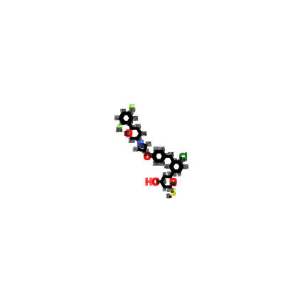 CSC1CC(O)CC(c2ccc(Cl)c(Cc3ccc(OC4CN(C5CCC(c6cc(F)ccc6F)OC5)C4)cc3)c2)O1